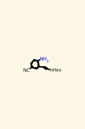 CCCCCCC#Cc1cc(C#N)ccc1N